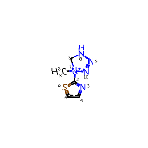 C[N+]1(c2nccs2)CNN=N1